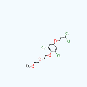 CCOCCOCCOc1c(Cl)cc(OCC=C(Cl)Cl)cc1Cl